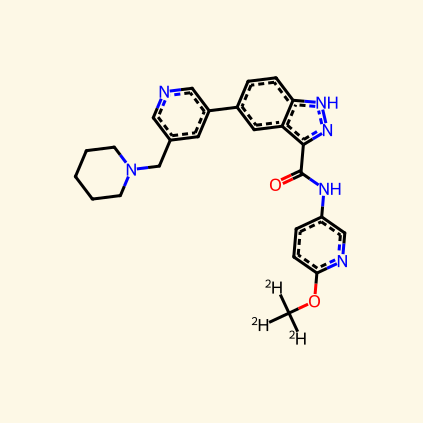 [2H]C([2H])([2H])Oc1ccc(NC(=O)c2n[nH]c3ccc(-c4cncc(CN5CCCCC5)c4)cc23)cn1